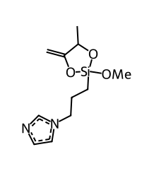 C=C1O[Si](CCCn2ccnc2)(OC)OC1C